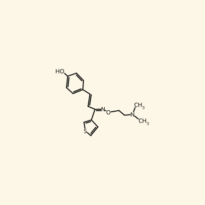 CN(C)CCON=C(C=Cc1ccc(O)cc1)c1ccsc1